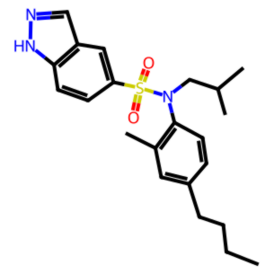 CCCCc1ccc(N(CC(C)C)S(=O)(=O)c2ccc3[nH]ncc3c2)c(C)c1